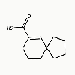 O=C(S)C1=CC2(CCCC2)CCC1